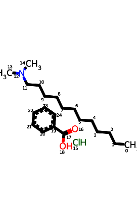 CCCCCCCCCCCCN(C)C.Cl.O=C(O)c1ccccc1